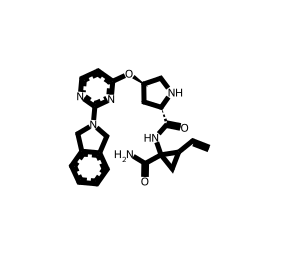 C=CC1CC1(NC(=O)[C@@H]1C[C@@H](Oc2ccnc(N3Cc4ccccc4C3)n2)CN1)C(N)=O